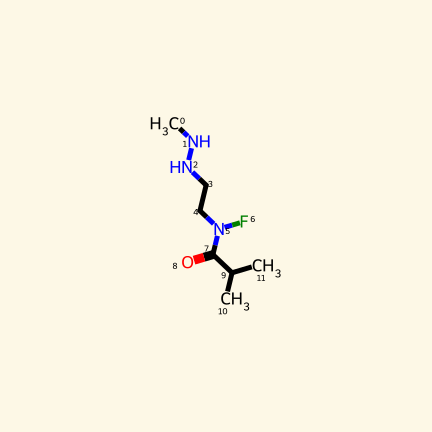 CNNCCN(F)C(=O)C(C)C